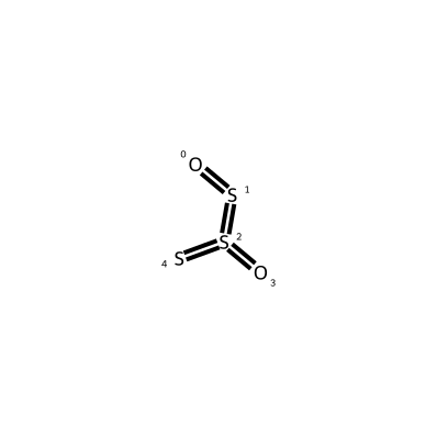 O=S=S(=O)=S